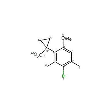 COc1cc(C)c(Br)c(C)c1C1(C(=O)O)CC1